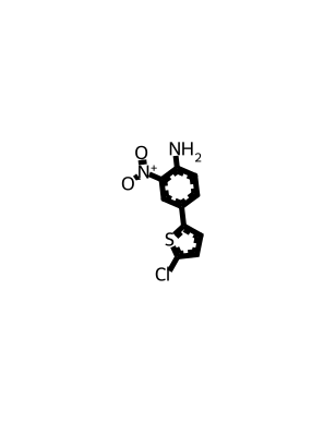 Nc1ccc(-c2ccc(Cl)s2)cc1[N+](=O)[O-]